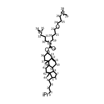 CC(C)CCCCC1CCC2C3CC=C4CC(OC(=O)N(CCCCOCCCN(C)C)CCCN(C)C)CCC4(C)C3CCC12C